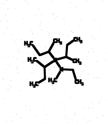 CCC(C)[Si](C(C)CC)(C(C)CC)N(C)CC